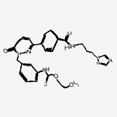 CCOC(=O)Nc1cccc(Cn2nc(-c3ccc(C(=O)NCCCn4cncn4)cc3)ccc2=O)c1